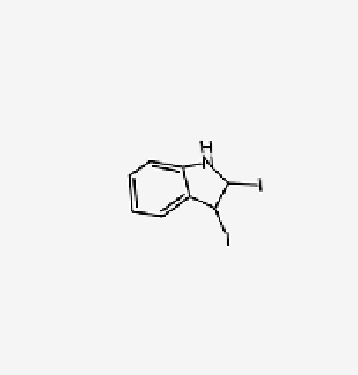 IC1Nc2ccccc2C1I